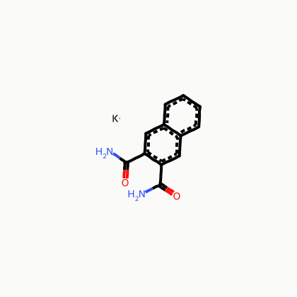 NC(=O)c1cc2ccccc2cc1C(N)=O.[K]